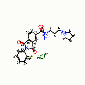 Cl.O=C(NCCCN1CCCC1)c1ccc2c(c1)C(=O)N(c1ccccc1F)C2=O